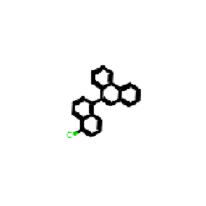 Clc1cccc2c(-c3cc4ccccc4c4ccccc34)cccc12